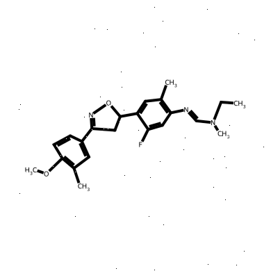 CCN(C)/C=N/c1cc(F)c(C2CC(c3ccc(OC)c(C)c3)=NO2)cc1C